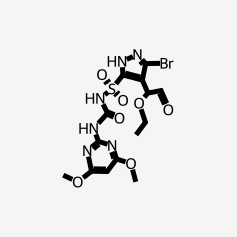 CCOC(C=O)c1c(Br)n[nH]c1S(=O)(=O)NC(=O)Nc1nc(OC)cc(OC)n1